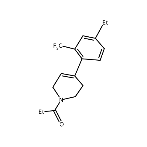 CCC(=O)N1CC=C(c2ccc(CC)cc2C(F)(F)F)CC1